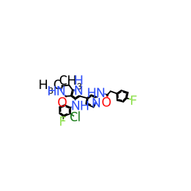 CC1(C)Cc2[nH]c(-c3ccnc(NC(=O)Cc4ccc(F)cc4)c3)c(Nc3cccc(F)c3Cl)c2C(=O)N1